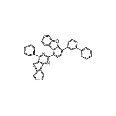 c1ccc(-c2cccc(-c3ccc(-c4nc(-c5ccccc5)c5sc6ccccc6c5n4)c4c3oc3ccccc34)c2)cc1